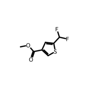 COC(=O)c1csc(C(F)F)c1